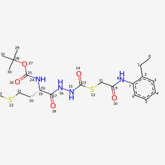 CCc1ccccc1NC(=O)CSC(=O)NNC(=O)[C@H](CCSC)NC(=O)OC(C)(C)C